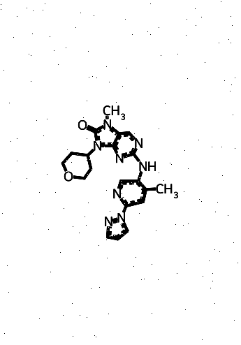 Cc1cc(-n2cccn2)ncc1Nc1ncc2c(n1)n(C1CCOCC1)c(=O)n2C